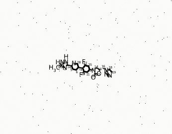 CN1N=C(c2ccc(-c3c(F)cc(N4C[C@H](Cn5ccnn5)OC4=O)cc3F)cn2)NN1